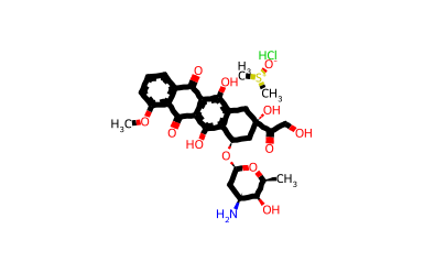 COc1cccc2c1C(=O)c1c(O)c3c(c(O)c1C2=O)C[C@@](O)(C(=O)CO)C[C@@H]3O[C@H]1C[C@H](N)[C@H](O)[C@H](C)O1.C[S+](C)[O-].Cl